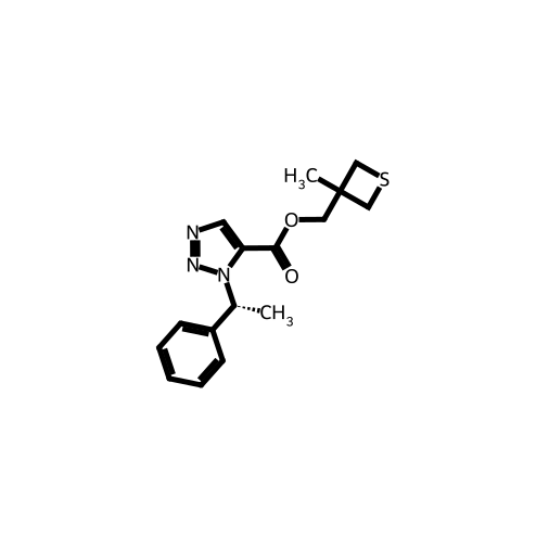 C[C@H](c1ccccc1)n1nncc1C(=O)OCC1(C)CSC1